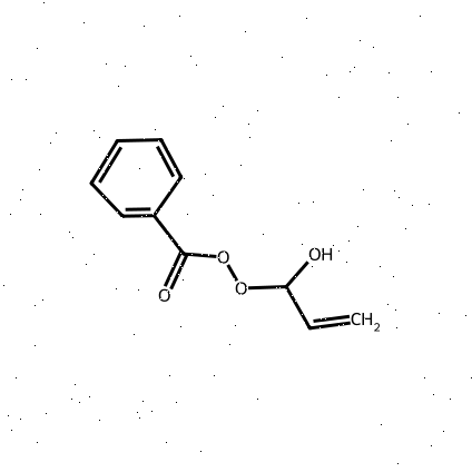 C=CC(O)OOC(=O)c1ccccc1